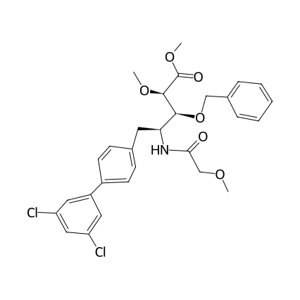 COCC(=O)N[C@@H](Cc1ccc(-c2cc(Cl)cc(Cl)c2)cc1)[C@H](OCc1ccccc1)[C@@H](OC)C(=O)OC